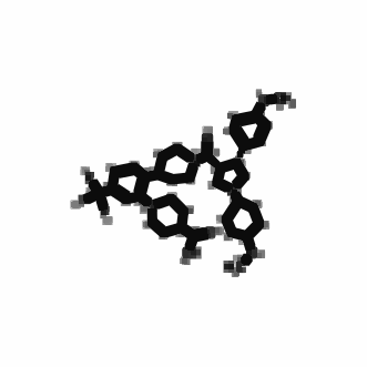 COc1ccc([C@@H]2CN(C3CCC(OC)CC3)C[C@H]2C(=O)N2CCC(c3ccc(C(F)(F)F)cc3N3CCC(C(=O)O)CC3)CC2)cc1